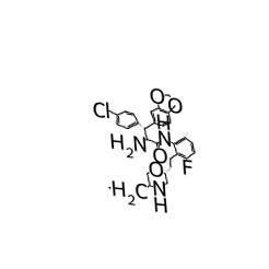 [CH2][C@H]1CO[C@H](CCc2c(F)cccc2NC(=O)[C@@H](N)[C@H](c2ccc(Cl)cc2)c2ccc3c(c2)OCO3)CN1